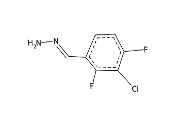 N/N=C/c1ccc(F)c(Cl)c1F